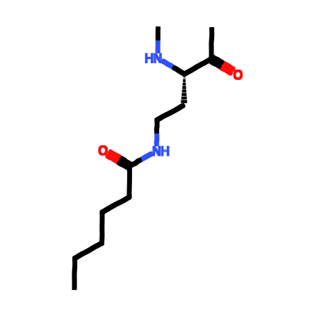 CCCCCC(=O)NCC[C@H](NC)C(C)=O